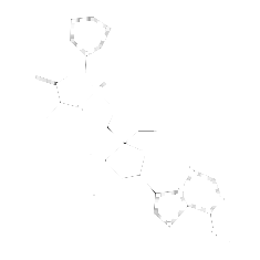 CC(NP(=O)(OC[C@@]1(CF)O[C@@H](c2ccc3c(N)ncnn23)[C@H](O)[C@@H]1O)Oc1ccccc1)C(=O)O